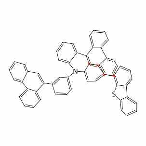 c1cc(-c2cc3ccccc3c3ccccc23)cc(N(c2ccc(-c3cccc4c3sc3ccccc34)cc2)c2ccccc2-c2cc3ccccc3c3ccccc23)c1